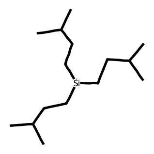 CC(C)CC[Si](CCC(C)C)CCC(C)C